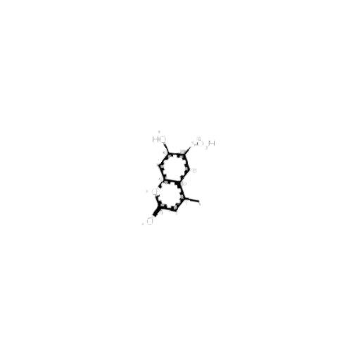 Cc1cc(=O)oc2cc(O)c(S(=O)(=O)O)cc12